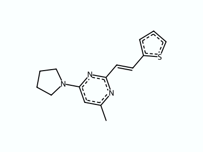 Cc1cc(N2CCCC2)nc(/C=C/c2cccs2)n1